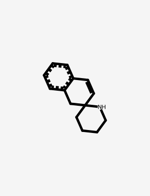 C1=CC2(CCCCN2)Cc2ccccc21